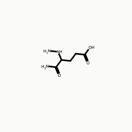 NNC(CCC(=O)O)C(N)=O